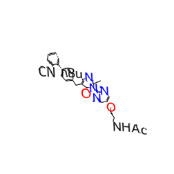 CCCCc1nc(C)n(-c2ncc(OCCCNC(C)=O)cn2)c(=O)c1Cc1ccc(-c2ccccc2C#N)cc1